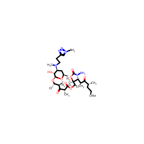 Bn1cc(CCN(C)[C@H]2C[C@@H](C)O[C@@H](O[C@@H](CC)[C@@H](C)C(=O)[C@@H](C)C(=O)O[C@H](CC)[C@@]3(C)OC(=O)N(N)[C@@H]3[C@@H](C)C(=O)[C@H](C)CCOC)[C@@H]2O)nn1